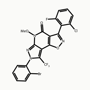 COn1c(=O)c2c(-c3c(F)cccc3Cl)noc2c2c(C(F)(F)F)n(-c3ccccc3Br)nc21